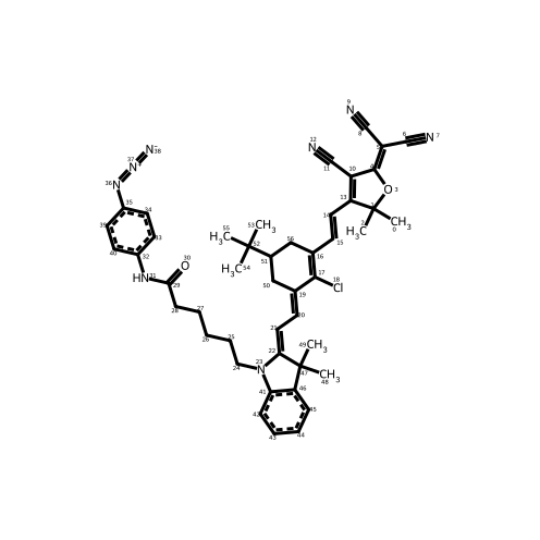 CC1(C)OC(=C(C#N)C#N)C(C#N)=C1/C=C/C1=C(Cl)C(=C/C=C2/N(CCCCCC(=O)Nc3ccc(N=[N+]=[N-])cc3)c3ccccc3C2(C)C)/CC(C(C)(C)C)C1